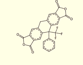 O=C1OC(=O)c2cc3c(cc21)Cc1cc2c(cc1C3(c1ccccc1)C(F)(F)F)C(=O)OC2=O